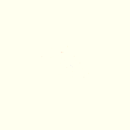 C[C@H]1OCC(NC(=O)OC(C)(C)C)(c2ccccc2F)C1C(O)C(F)(F)F